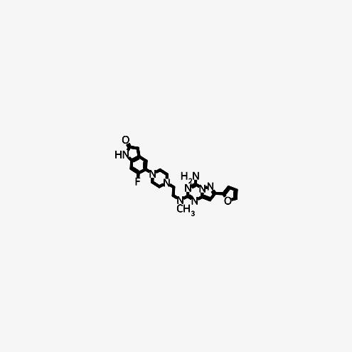 CN(CCN1CCN(c2cc3c(cc2F)NC(=O)C3)CC1)c1nc(N)n2nc(-c3ccco3)cc2n1